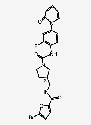 O=C(NC[C@H]1CCN(C(=O)Nc2ccc(-n3ccccc3=O)cc2F)C1)c1ccc(Br)o1